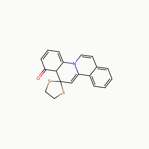 O=C1C=CC=C2C1C1(C=C3c4ccccc4C=CN32)SCCS1